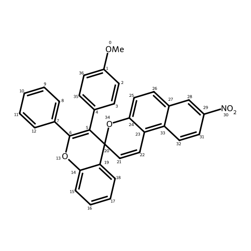 COc1ccc(C2=C(c3ccccc3)Oc3ccccc3C23C=Cc2c(ccc4cc([N+](=O)[O-])ccc24)O3)cc1